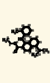 CCOC(=O)c1cnc2c(N(C)C)cccc2c1Nc1ccccc1C